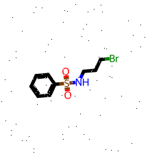 O=S(=O)(NCCCBr)c1ccccc1